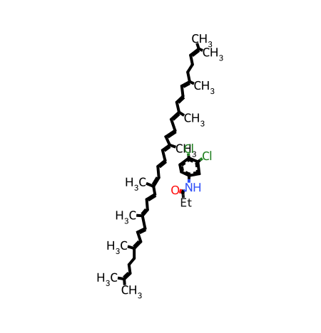 CC(C)=CCC/C(C)=C/C=C/C(C)=C/C=C/C(C)=C/C=C/C=C(C)/C=C/C=C(C)/C=C/C=C(\C)CCC=C(C)C.CCC(=O)Nc1ccc(Cl)c(Cl)c1